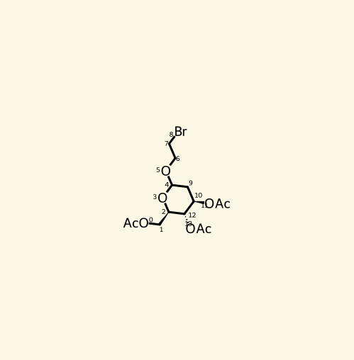 CC(=O)OC[C@H]1OC(OCCBr)C[C@@H](OC(C)=O)[C@@H]1OC(C)=O